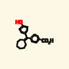 O=C(O)c1ccc(C(=C2CCCCCC2)c2ccc(O)cc2)cc1